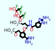 N=C(N)c1ccc(CC(=O)C(=O)O)c(OC[C@@H](CCC(=O)O)NC(=O)c2ccc3[nH]c(N)nc3c2)c1.O=C(O)C(F)(F)F.O=C(O)C(F)(F)F